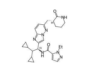 CCn1nccc1C(=O)N[C@H](c1cn2nc(C[C@H]3CCCNC3=O)ccc2n1)C(C1CC1)C1CC1